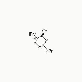 CC(C)N1CCN(C(C)C)C(=O)C1